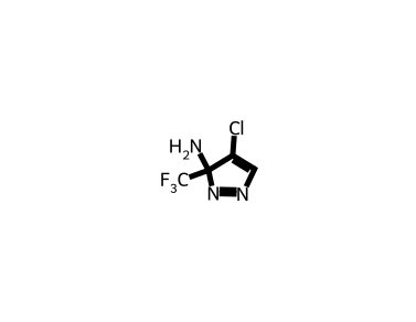 NC1(C(F)(F)F)N=NC=C1Cl